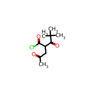 CC(=O)CC(C(=O)Cl)C(=O)C(C)(C)C